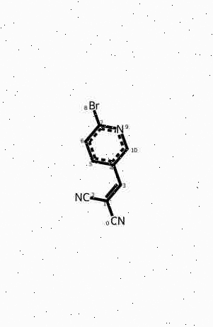 N#CC(C#N)=Cc1ccc(Br)nc1